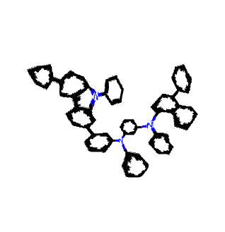 C1=CC(n2c3ccc(-c4ccccc4)cc3c3ccc(-c4cccc(N(c5ccccc5)c5cccc(N(c6ccccc6)c6ccc(-c7ccccc7)c7ccccc67)c5)c4)cc32)=CCC1